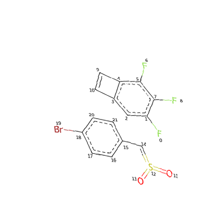 Fc1cc2c(c(F)c1F)C=C2.O=S(=O)=Cc1ccc(Br)cc1